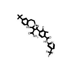 Cc1c(C(=O)Nc2cc(C(F)(F)F)ccn2)ccc(-c2nn3c(c2C(N)=O)Nc2ccc(C(C)(C)C)cc2CC3)c1F